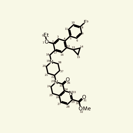 CCOc1cc(-c2ccc(F)cc2)c(C2CC2)cc1CN1CCC(N2CCc3ccc(C(=O)OC)nc3C2=O)CC1